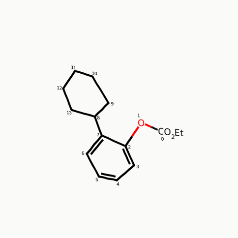 CCOC(=O)Oc1ccccc1C1CCCCC1